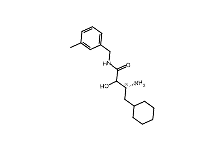 Cc1cccc(CNC(=O)C(O)[C@H](N)CC2CCCCC2)c1